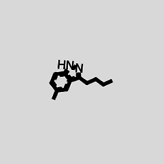 CCCCc1n[nH]c2ccc(C)cc12